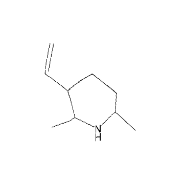 C=CC1CCC(C)NC1C